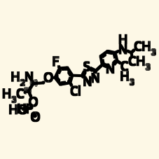 Cc1nc(-c2nnc(-c3cc(F)c(OC[C@H](N)[C@H](C)O[PH](=O)O)cc3Cl)s2)ccc1NC(C)C